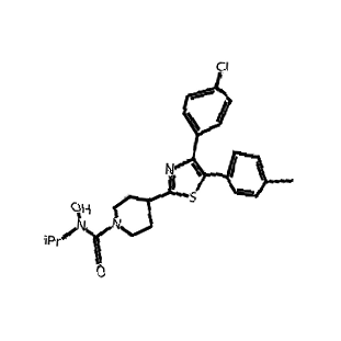 Cc1ccc(-c2sc(C3CCN(C(=O)N(O)C(C)C)CC3)nc2-c2ccc(Cl)cc2)cc1